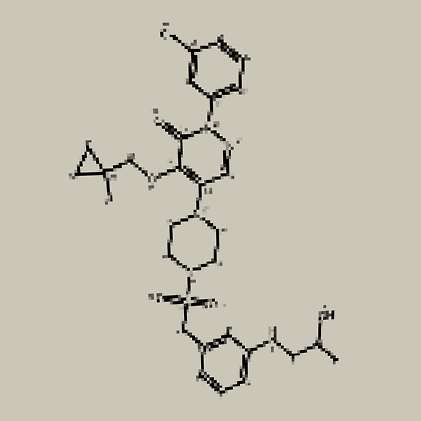 CC(O)CNc1cccc(CS(=O)(=O)N2CCN(c3cnn(-c4cccc(Cl)c4)c(=O)c3OCC3(C)CC3)CC2)c1